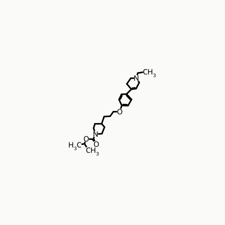 CCN1CC=C(c2ccc(OCCCC3CCN(C(=O)OC(C)C)CC3)cc2)CC1